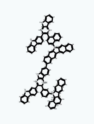 c1cc(C2Nc3c(oc4cc(-c5ccc6cc7c(cc6c5)c5cc6ccccc6cc5n7-c5ccc(-c6nc7c(nc6-c6ccc8c(c6)sc6ccccc68)sc6ccccc67)c6ccccc56)ccc34)N=C2c2ccc3c(c2)sc2ccccc23)cc(-n2c3cc4ccccc4cc3c3ccc4ccccc4c32)c1